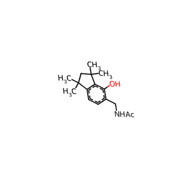 CC(=O)NCc1ccc2c(c1O)C(C)(C)CC2(C)C